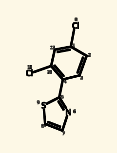 Clc1ccc(-c2nc[c]s2)c(Cl)c1